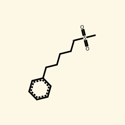 CS(=O)(=O)[CH]CCCCc1ccccc1